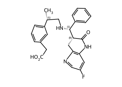 C[C@H](CN[C@H](c1ccccc1)[C@H]1Cc2ncc(F)cc2NC1=O)c1cccc(CC(=O)O)c1